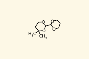 CC1(C)CCOC(C2OCCCO2)O1